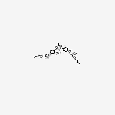 CCCCOCC(O)COc1ccc(-c2nc(C)nc(-c3ccc(OCC(O)COCCCC)cc3O)n2)c(C)c1